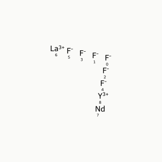 [F-].[F-].[F-].[F-].[F-].[F-].[La+3].[Nd].[Y+3]